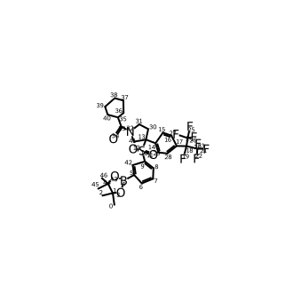 CC1(C)OB(c2cccc(S(=O)(=O)C3(c4ccc(C(F)(C(F)(F)F)C(F)(F)F)cc4)CCN(C(=O)C4CCCCC4)C3)c2)OC1(C)C